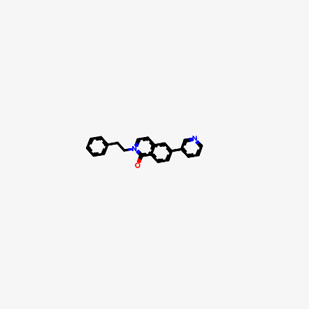 O=c1c2ccc(-c3cccnc3)cc2ccn1CCc1ccccc1